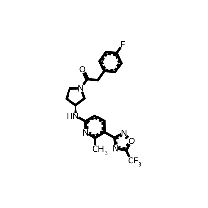 Cc1nc(N[C@H]2CCN(C(=O)Cc3ccc(F)cc3)C2)ccc1-c1noc(C(F)(F)F)n1